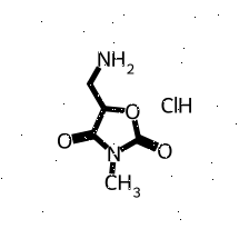 CN1C(=O)OC(CN)C1=O.Cl